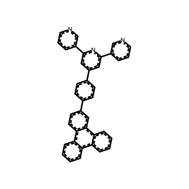 c1cncc(-c2cc(-c3ccc(-c4ccc5c6ccccc6c6ccccc6c5c4)cc3)cc(-c3cccnc3)n2)c1